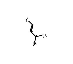 [CH2]CC=CC(C)CC